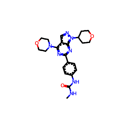 CNC(=O)Nc1ccc(-c2nc(N3CCOCC3)c3cnn(C4CCOCC4)c3n2)cc1